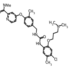 CNC(=O)c1cc(Oc2ccc(CNC(=O)Nc3cc(C)c(Cl)cc3OCCCN(C)C)cc2C)ccn1